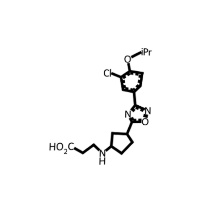 CC(C)Oc1ccc(-c2noc(C3CCC(NCCC(=O)O)C3)n2)cc1Cl